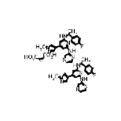 C[C@H](Nc1cc(-c2cnn(C)c2)cc(Nc2cnccn2)n1)c1ccc(F)cc1.C[C@H](Nc1cc(-c2cnn(C)c2)cc(Nc2cnccn2)n1)c1ccc(F)cc1.O=C(O)/C=C\C(=O)O